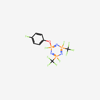 Fc1ccc(OP2(F)=NP(F)(C(F)(F)F)=NP(F)(C(F)(F)F)=N2)cc1